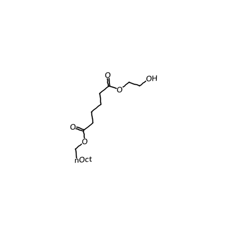 CCCCCCCCCOC(=O)CCCCC(=O)OCCO